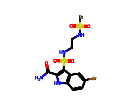 CCS(=O)(=O)NCCNS(=O)(=O)c1c(C(N)=O)[nH]c2ccc(Br)cc12